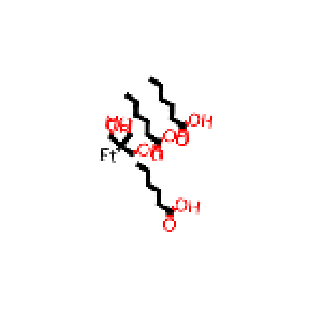 CCC(CO)(CO)CO.CCCCCC(=O)O.CCCCCC(=O)O.CCCCCC(=O)O